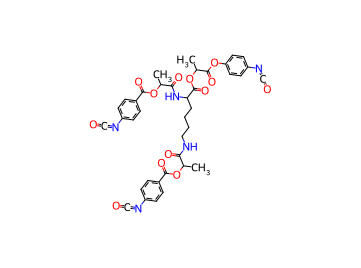 CC(OC(=O)c1ccc(N=C=O)cc1)C(=O)NCCCCC(NC(=O)C(C)OC(=O)c1ccc(N=C=O)cc1)C(=O)OC(C)C(=O)Oc1ccc(N=C=O)cc1